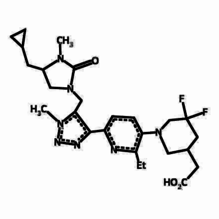 CCc1nc(-c2nnn(C)c2CN2CC(CC3CC3)N(C)C2=O)ccc1N1CC(CC(=O)O)CC(F)(F)C1